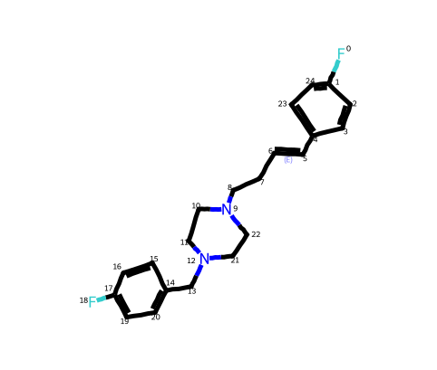 Fc1ccc(/C=C/CCN2CCN(Cc3ccc(F)cc3)CC2)cc1